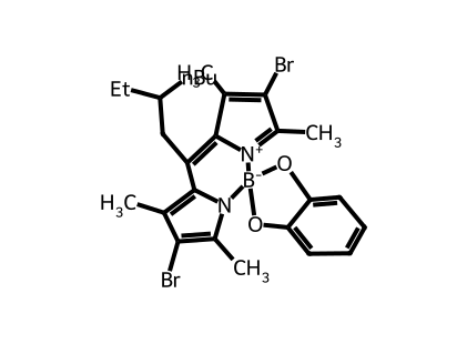 CCCCC(CC)CC1=C2C(C)=C(Br)C(C)=[N+]2[B-]2(Oc3ccccc3O2)n2c(C)c(Br)c(C)c21